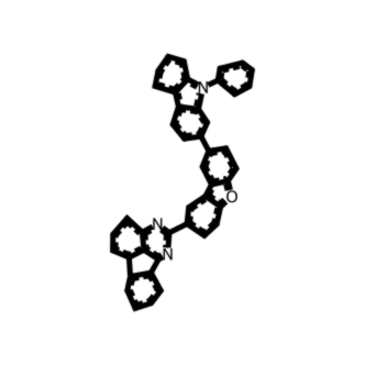 c1ccc(-n2c3ccccc3c3ccc(-c4ccc5oc6ccc(-c7nc8c9c(cccc9n7)-c7ccccc7-8)cc6c5c4)cc32)cc1